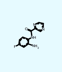 Nc1cc(F)ccc1NC(=O)c1cnccn1